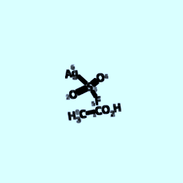 CC(=O)O.O=[S](=O)(F)[Ag]